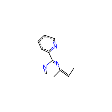 C=N/C(=N\C(C)=C/C)c1ccccn1